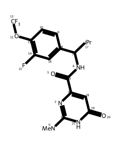 CNc1nc(C(=O)NC(c2ccc(OC(F)(F)F)c(F)c2)C(C)C)cc(=O)[nH]1